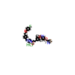 Cc1cc(/C=C/C(=O)N2CCN(Cc3ccc(CCOc4ccc(F)cc4)cc3)CC2)cc(C)c1Oc1ccc(OCc2cscn2)cn1.Cl